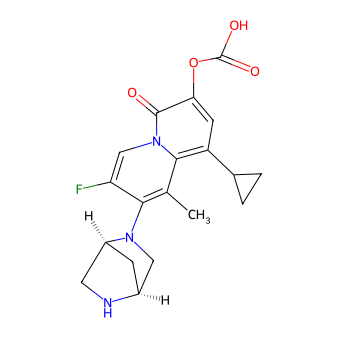 Cc1c(N2C[C@@H]3C[C@H]2CN3)c(F)cn2c(=O)c(OC(=O)O)cc(C3CC3)c12